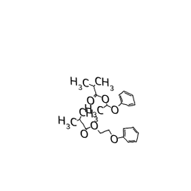 CC(C)C(=O)OCCOc1ccccc1.CC(OC(=O)C(C)C)Oc1ccccc1